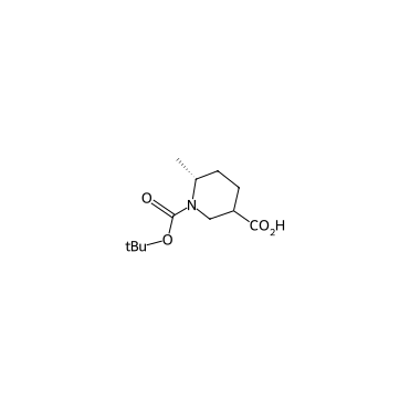 C[C@@H]1CCC(C(=O)O)CN1C(=O)OC(C)(C)C